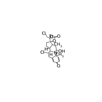 CCC(=O)O[C@]1(C(=O)CCl)CC[C@H]2[C@@H]3C(Cl)CC4=CC(=O)C=C[C@]4(C)[C@H]3C(O)C[C@@]21C